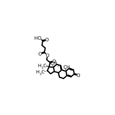 C[C@H]1CC2C3CCC4=CC(=O)C=C[C@]4(C)C3=CC[C@]2(C)[C@@]1(C)C(=O)COC(=O)CCC(=O)O